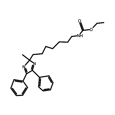 CCOC(=O)NCCCCCCCC1(C)N=C(c2ccccc2)C(c2ccccc2)=N1